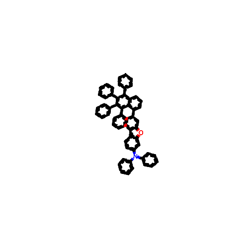 c1ccc(-c2c(-c3ccccc3)c(-c3ccccc3)c3c(-c4ccc5c(c4)oc4cc(N(c6ccccc6)c6ccccc6)ccc45)cccc3c2-c2ccccc2)cc1